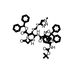 Cn1cc(SCSC2=C(C(=O)OC(c3ccccc3)c3ccccc3)N3C(=O)C[C@@H]3SC2NC(=O)C(=NOC(c2ccccc2)(c2ccccc2)c2ccccc2)c2csc(NC(=O)OC(C)(C)C)n2)nn1